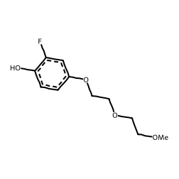 COCCOCCOc1ccc(O)c(F)c1